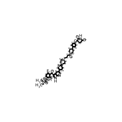 CCN(C)S(=O)(=O)Nc1ccc(F)c(C(=O)c2c[nH]c3ncc(-c4ccc(N5CCN(CCCC(=O)N6CCC(c7ccc(OC8CCC(=O)NC8=O)cc7)CC6)CC5)nc4)cc23)c1F